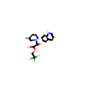 C[C@H]1CC[C@H](c2ccc3cccnc3c2)N(C(=O)C(=O)OCC(F)(F)F)C1